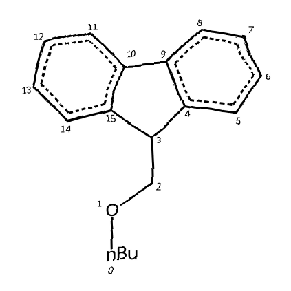 CCCCOCC1c2ccccc2-c2ccccc21